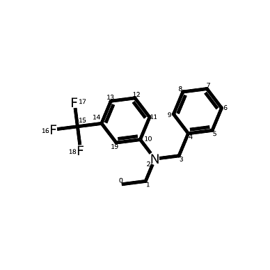 CCN(Cc1ccccc1)c1cccc(C(F)(F)F)c1